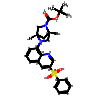 CC(C)(C)OC(=O)N1C[C@@H]2C[C@H]1CN2c1cccc2cc(S(=O)(=O)c3ccccc3)cnc12